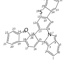 c1ccc2c(c1)cn1c3cc4c(cc3c3c(ccc5c6ccccc6oc53)c21)sc1ccccc14